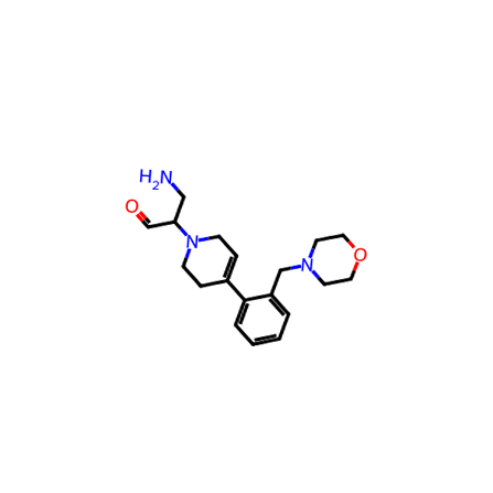 NCC(C=O)N1CC=C(c2ccccc2CN2CCOCC2)CC1